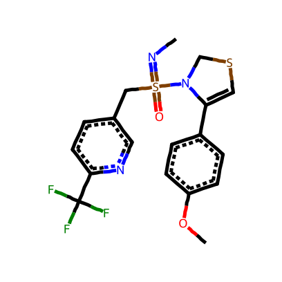 CN=S(=O)(Cc1ccc(C(F)(F)F)nc1)N1CSC=C1c1ccc(OC)cc1